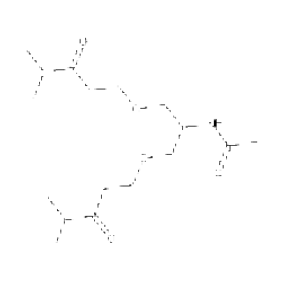 CC(=O)NC(COCCC(=O)C(C)C)COCCC(=O)C(C)C